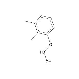 Cc1cccc(OBO)c1C